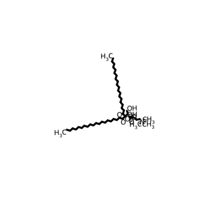 CCCCCCCCCCCCCCCCCCCCC(=O)C(OP(=O)([O-])OCC[N+](C)(C)C)(C(=O)CCCCCCCCCCCCCCCCCCCC)[C@@H](O)CO